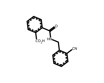 N#Cc1ccccc1CNC(=O)c1ccccc1C(=O)O